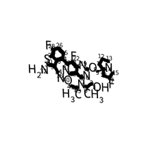 C[C@@H](CO)N1c2nc(OC[C@@]34CCCN3C[C@H](F)C4)nc3c(F)c(-c4ccc(F)c5sc(N)c(C#N)c45)nc(c23)OC[C@@H]1C